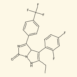 CCC1=C(c2ccc(F)cc2F)C2C(c3ccc(C(F)(F)F)cc3)=NC(=O)N2N1